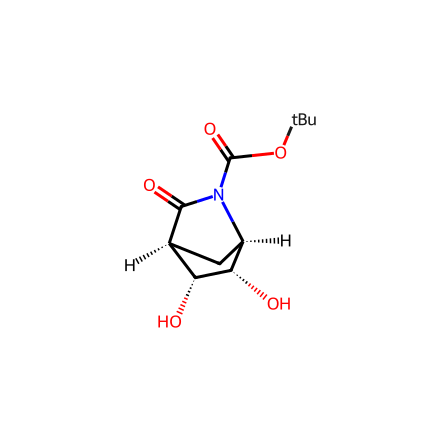 CC(C)(C)OC(=O)N1C(=O)[C@H]2C[C@@H]1[C@H](O)[C@@H]2O